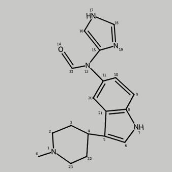 CN1CCC(c2c[nH]c3ccc(N(C=O)c4c[nH]cn4)cc23)CC1